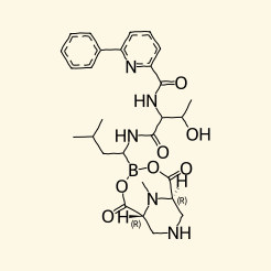 CC(C)CC(NC(=O)C(NC(=O)c1cccc(-c2ccccc2)n1)C(C)O)B1OC(=O)[C@H]2CNC[C@H](C(=O)O1)N2C